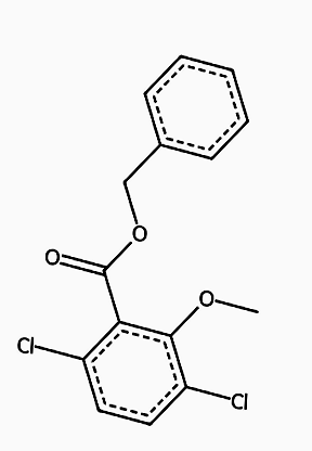 COc1c(Cl)ccc(Cl)c1C(=O)OCc1ccccc1